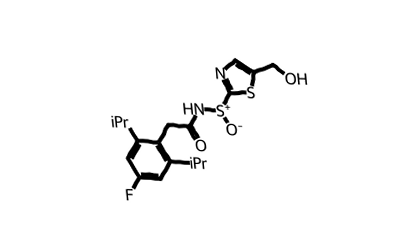 CC(C)c1cc(F)cc(C(C)C)c1CC(=O)N[S+]([O-])c1ncc(CO)s1